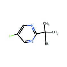 CCC(C)(C)c1ncc(F)cn1